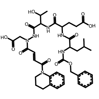 CC(C)CC(NC(=O)OCc1ccccc1)C(=O)NC(CCC(=O)O)C(=O)NC(C(=O)NN(CC(=O)O)C(=O)/C=C/C(=O)N1CCCc2ccccc21)C(C)O